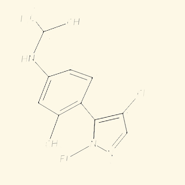 CCn1ncc(Cl)c1-c1ccc(NC(C)C(F)(F)F)cc1C